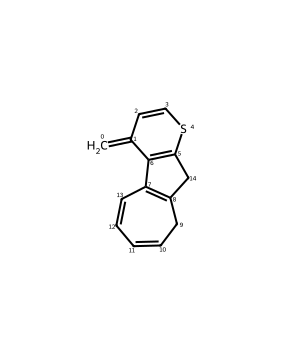 C=C1C=CSC2=C1C1=C(CC=CC=C1)C2